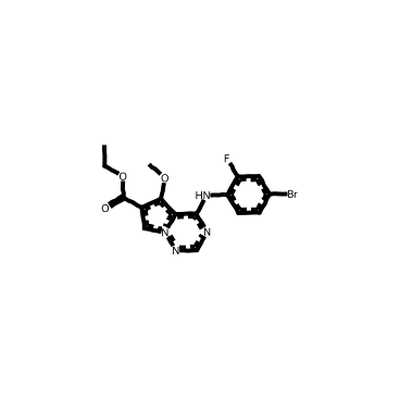 CCOC(=O)c1cn2ncnc(Nc3ccc(Br)cc3F)c2c1OC